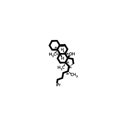 CC(C)CCC[C@@H](C)[C@H]1CCC2(O)[C@@H]3CC=C4CCCC[C@]4(C)[C@H]3CC[C@]12C